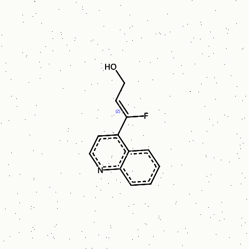 OC/C=C(\F)c1ccnc2ccccc12